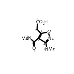 CNC(=O)c1c(NC)nsc1CC(=O)O